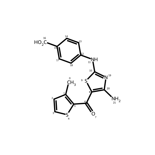 Cc1ccsc1C(=O)c1sc(Nc2ccc(C(=O)O)cc2)nc1N